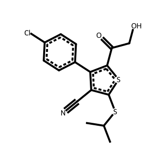 CC(C)Sc1sc(C(=O)CO)c(-c2ccc(Cl)cc2)c1C#N